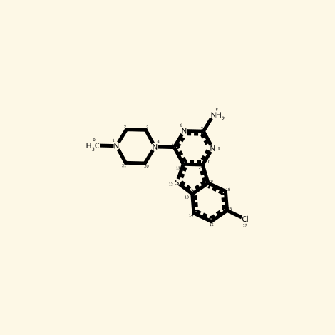 CN1CCN(c2nc(N)nc3c2sc2ccc(Cl)cc23)CC1